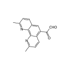 Cc1ccc2cc(C(=O)C=O)c3ccc(C)nc3c2n1